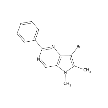 Cc1c(Br)c2nc(-c3ccccc3)ncc2n1C